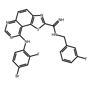 N=C(NCc1cccc(F)c1)c1nc2ccc3ncnc(Nc4ccc(Br)cc4F)c3c2s1